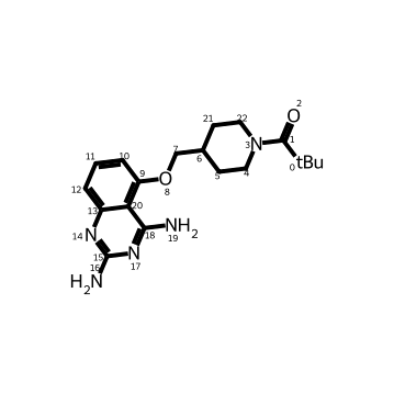 CC(C)(C)C(=O)N1CCC(COc2cccc3nc(N)nc(N)c23)CC1